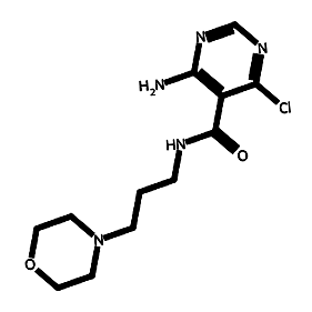 Nc1ncnc(Cl)c1C(=O)NCCCN1CCOCC1